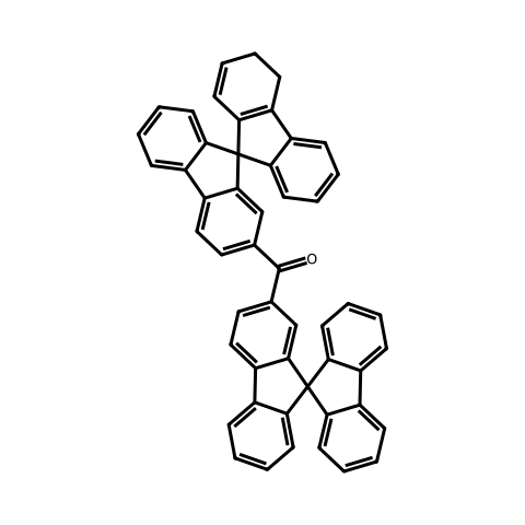 O=C(c1ccc2c(c1)C1(C3=C(CCC=C3)c3ccccc31)c1ccccc1-2)c1ccc2c(c1)C1(c3ccccc3-c3ccccc31)c1ccccc1-2